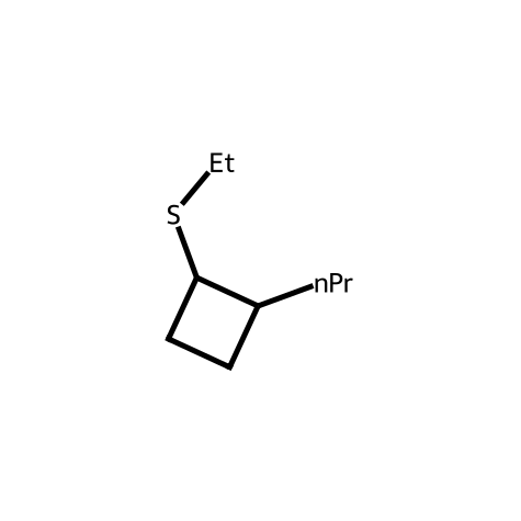 CCCC1CCC1SCC